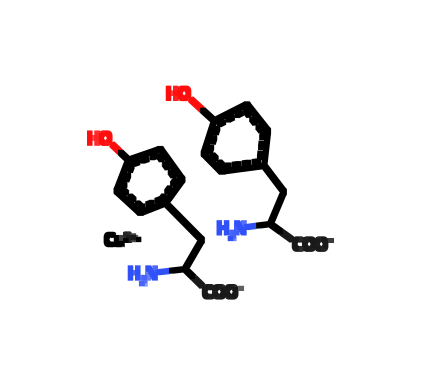 NC(Cc1ccc(O)cc1)C(=O)[O-].NC(Cc1ccc(O)cc1)C(=O)[O-].[Cu+2]